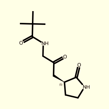 CC(C)(C)C(=O)NCC(=O)C[C@@H]1CCNC1=O